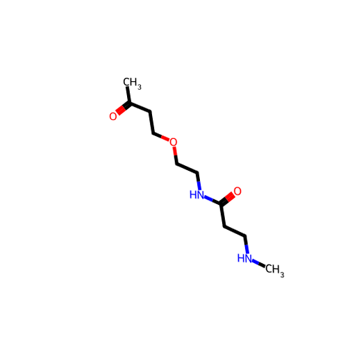 CNCCC(=O)NCCOCCC(C)=O